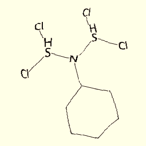 Cl[SH](Cl)N(C1CCCCC1)[SH](Cl)Cl